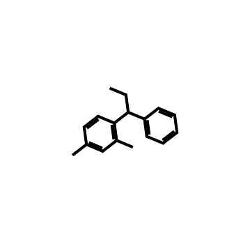 CCC(c1ccccc1)c1ccc(C)cc1C